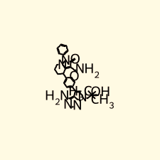 CC(C)(O)Cn1cc(-c2ccc(C3CCCn4c3c(C(N)=O)c(=O)n4-c3ccccc3)cc2)c2c(N)ncnc21